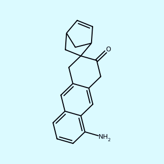 Nc1cccc2cc3c(cc12)CC(=O)C1(C3)CC2C=CC1C2